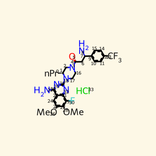 CCC[C@H]1CN(C(=O)C[C@@H](N)c2ccc(C(F)(F)F)cc2)CCN1c1nc(N)c2cc(OC)c(OC)c(F)c2n1.Cl